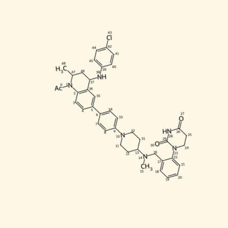 CC(=O)N1c2ccc(-c3ccc(N4CCC(N(C)Cc5ccccc5N5CCC(=O)NC5=O)CC4)cc3)cc2C(Nc2ccc(Cl)cc2)CC1C